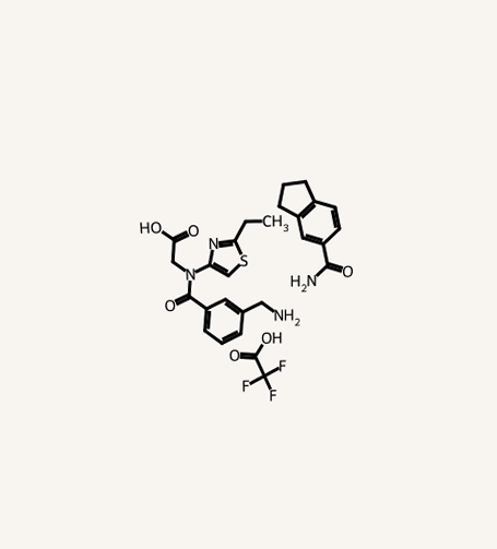 CCc1nc(N(CC(=O)O)C(=O)c2cccc(CN)c2)cs1.NC(=O)c1ccc2c(c1)CCC2.O=C(O)C(F)(F)F